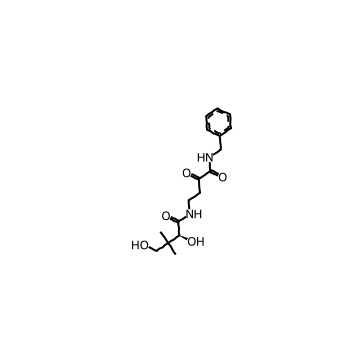 CC(C)(CO)[C@H](O)C(=O)NCCC(=O)C(=O)NCc1ccccc1